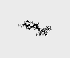 NC1=NCNc2c1ncn2C1CC(F)C(COP(=O)(O)OP(=O)(O)OP(=O)(O)O)O1